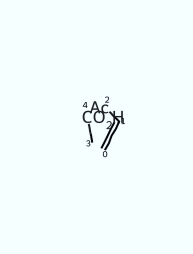 C=CC(C)=O.CC(=O)O